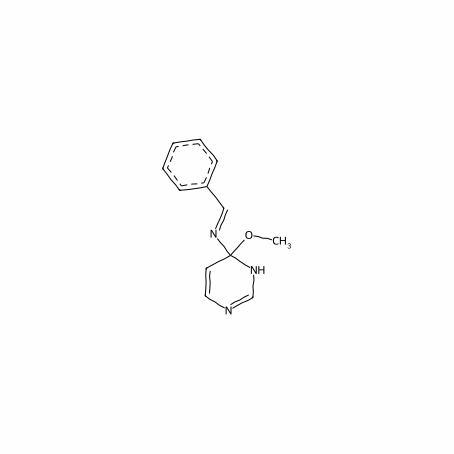 COC1(N=Cc2ccccc2)C=CN=CN1